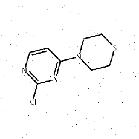 Clc1nccc(N2CCSCC2)n1